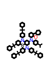 CC(C)c1ccc(N(c2cc3c4c(c2)N(c2ccc(C(C)(C)c5ccccc5)cc2)c2ccc(C(C)(C)c5ccccc5)cc2B4c2cc(C(C)(C)c4ccccc4)ccc2N3c2ccc(C(C)(C)c3ccccc3)cc2)c2cccc3c2oc2ccccc23)cc1